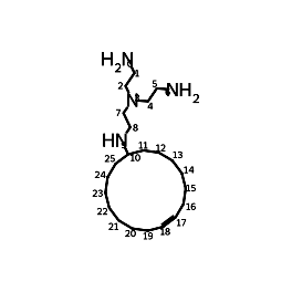 NCCN(CCN)CCNC1CCCCCCC=CCCCCCCC1